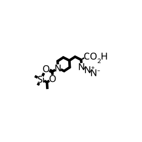 CC(OC(=O)N1CCC(C[C@H](N=[N+]=[N-])C(=O)O)CC1)[Si](C)(C)C